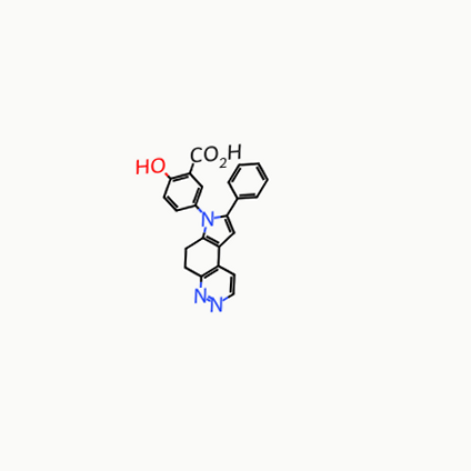 O=C(O)c1cc(-n2c(-c3ccccc3)cc3c2CCc2nnccc2-3)ccc1O